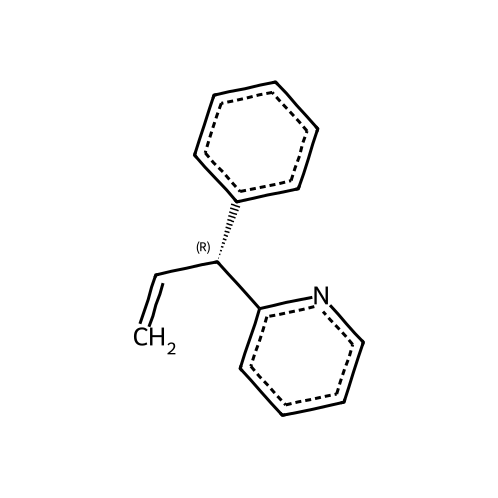 C=C[C@H](c1ccccc1)c1ccccn1